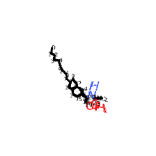 CCCCCCCCc1ccc2c(c1)CCC(C(CO)NC(C)=O)C2